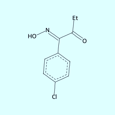 CCC(=O)/C(=N/O)c1ccc(Cl)cc1